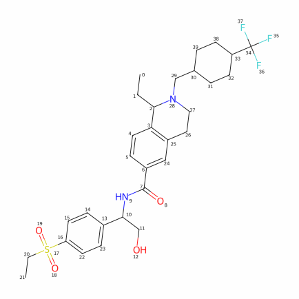 CCC1c2ccc(C(=O)NC(CO)c3ccc(S(=O)(=O)CC)cc3)cc2CCN1CC1CCC(C(F)(F)F)CC1